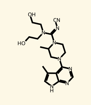 Cc1c[nH]c2ncnc(N3CCN(C(=NC#N)N(CCO)CCO)C(C)C3)c12